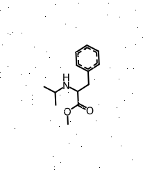 COC(=O)C(Cc1ccccc1)NC(C)C